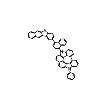 c1ccc(-n2c3cccc4c3c3c5c(ccc32)ccc2c5c3c-4cccc3n2-c2ccc(-c3ccc4sc5cc6ccccc6cc5c4c3)c3ccccc23)cc1